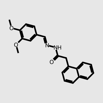 COc1ccc(C=NNC(=O)Cc2cccc3ccccc23)cc1OC